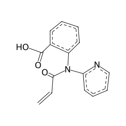 C=CC(=O)N(c1ccccn1)c1ccccc1C(=O)O